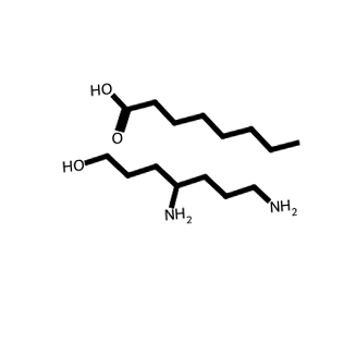 CCCCCCCC(=O)O.NCCCC(N)CCCO